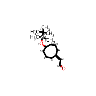 CC(C)(C)[Si](C)(C)OC1CCCC(=CC=O)CCC1